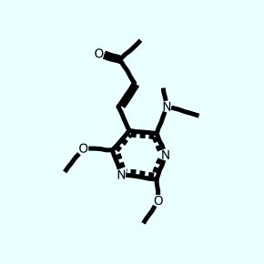 COc1nc(OC)c(C=CC(C)=O)c(N(C)C)n1